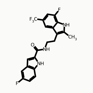 Cc1[nH]c2c(F)cc(C(F)(F)F)cc2c1CCNC(=O)c1cc2cc(F)ccc2[nH]1